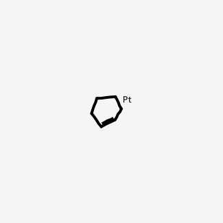 C1=CCCCC1.[Pt]